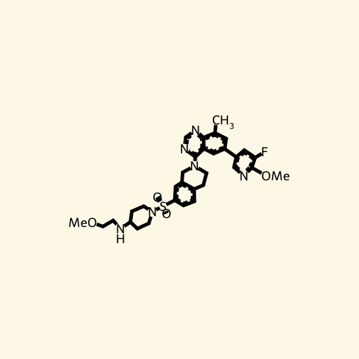 COCCNC1CCN(S(=O)(=O)c2ccc3c(c2)CN(c2ncnc4c(C)cc(-c5cnc(OC)c(F)c5)cc24)CC3)CC1